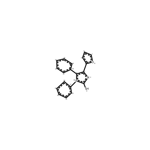 Sc1nc(-c2ccco2)c(-c2ccccc2)n1-c1ccccc1